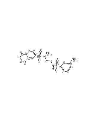 CN(CCNS(=O)(=O)c1cccc(N)c1)S(=O)(=O)C1=CCC2OCCOC2=C1